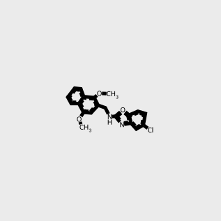 COc1cc(CNc2nc3cc(Cl)ccc3o2)c(OC)c2ccccc12